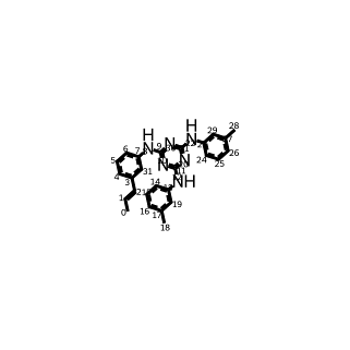 C/C=C/c1cccc(Nc2nc(Nc3cccc(C)c3)nc(Nc3cccc(C)c3)n2)c1